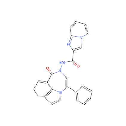 O=C(NN1C=C(c2ccccc2)n2ccc3c2C(=CCC3)C1=O)c1cn2ccccc2n1